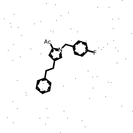 CC(=O)c1cc(CCc2ccccc2)cn1Cc1ccc(F)cc1